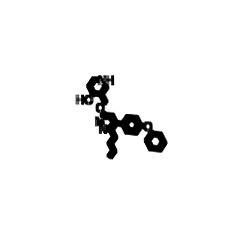 CCCCc1nnc(OCC2CNCCC2O)cc1-c1ccc(OC2CCCCC2)cc1